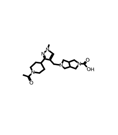 CC(=O)N1CCC(c2nn(C)cc2CN2CC3CN(C(=O)O)CC3C2)CC1